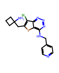 NC1(Cc2sc3c(NCc4ccncc4)nnnc3c2Br)CCC1